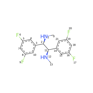 CN[C@H](c1cc(F)cc(F)c1)[C@H](NC)c1cc(F)cc(F)c1